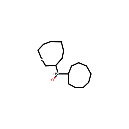 [O][SiH](C1CCCCCCCC1)C1CCCCCCCC1